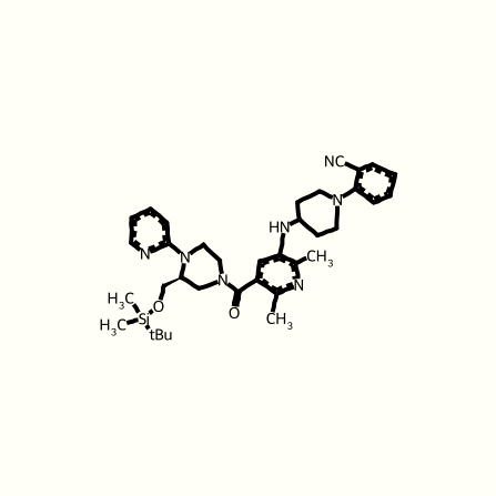 Cc1nc(C)c(C(=O)N2CCN(c3ccccn3)[C@H](CO[Si](C)(C)C(C)(C)C)C2)cc1NC1CCN(c2ccccc2C#N)CC1